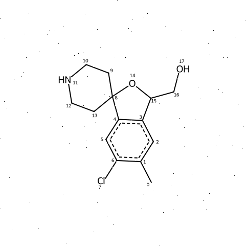 Cc1cc2c(cc1Cl)C1(CCNCC1)OC2CO